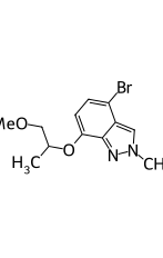 COCC(C)Oc1ccc(Br)c2cn(C)nc12